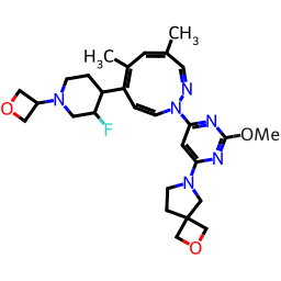 COc1nc(N2CCC3(COC3)C2)cc(-n2ccc(C3CCN(C4COC4)CC3F)c(C)cc(C)cn2)n1